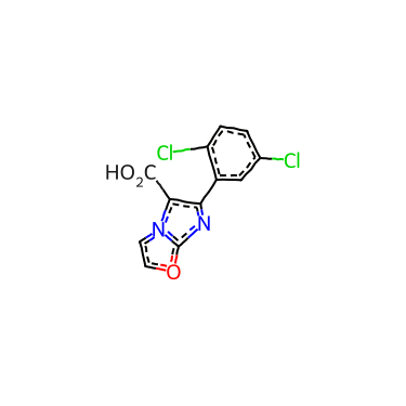 O=C(O)c1c(-c2cc(Cl)ccc2Cl)nc2occn12